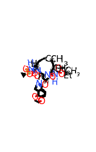 CCC(C)(CC)OC(=O)N[C@@H]1C(=O)N2C[C@H](Oc3nccc4c5c(ccc34)OCCO5)C[C@H]2C(=O)N[C@]2(C(=O)NS(=O)(=O)C3CC3)C[C@H]2C=CCC[C@H](C)C[C@H]1C